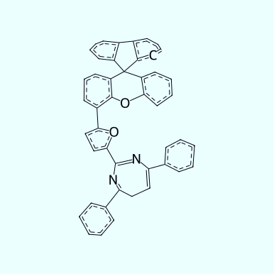 C1=C(c2ccccc2)N=C(c2ccc(-c3cccc4c3Oc3ccccc3C43c4ccccc4-c4ccccc43)o2)N=C(c2ccccc2)C1